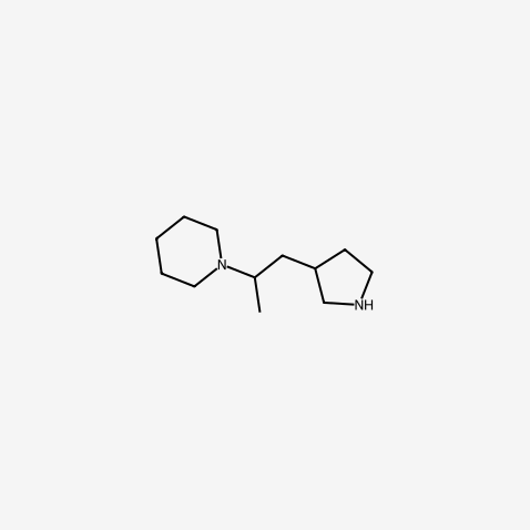 CC(CC1CCNC1)N1CCCCC1